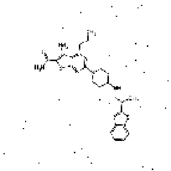 CCCc1cc(N2CCC(NCC(O)c3cc4ccccc4s3)CC2)nc2sc(C(N)=O)c(N)c12